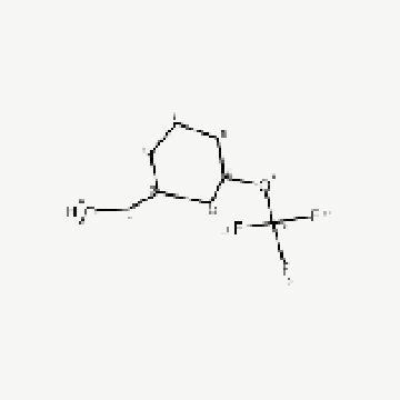 CCC1CCCC(OC(F)(F)F)C1